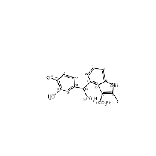 CCOC(=O)c1c(C)[nH]c2cccc(C(C(=O)O)c3ccc(Cl)c(O)c3)c12